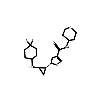 O=C(NC1CCOCC1)C1=CSC([C@@H]2C[C@H]2NC2CCC(F)(F)CC2)C1